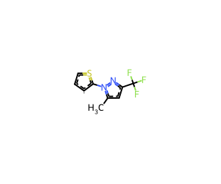 Cc1cc(C(F)(F)F)nn1-c1[c]ccs1